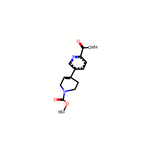 COC(=O)c1ccc(C2=CCN(C(=O)OC(C)(C)C)CC2)cn1